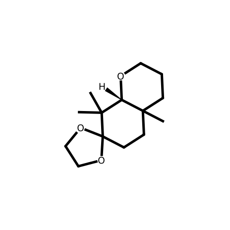 CC12CCCO[C@H]1C(C)(C)C1(CC2)OCCO1